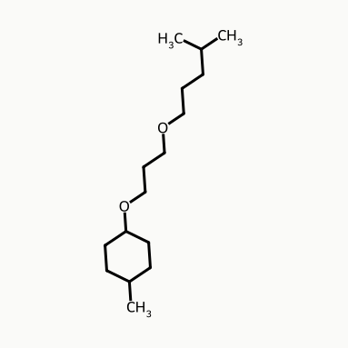 CC(C)CCCOCCCOC1CCC(C)CC1